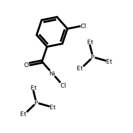 CCP(CC)CC.CCP(CC)CC.O=[C]([Ni][Cl])c1cccc(Cl)c1